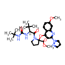 COC(=O)C1(Oc2cc(-n3cccn3)nc3cc(OC)ccc23)CCCN1C(=O)[C@@H](NC(=O)NC(C)(C)C)C(C)(C)C